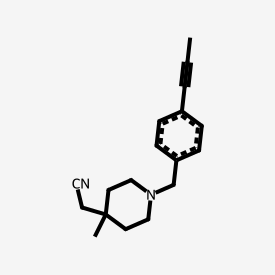 CC#Cc1ccc(CN2CCC(C)(CC#N)CC2)cc1